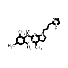 CCN(c1nc(C)c2c(n1)N(CCCc1ncc[nH]1)CC2)c1c(C)cc(C)cc1C